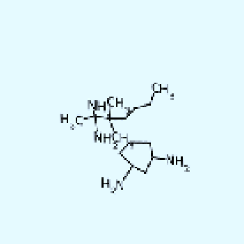 CCCCC(C)(C)C(C)(N)N.NC1CCCC(N)C1